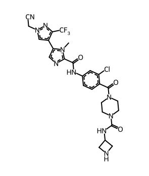 Cn1c(-c2cn(CC#N)nc2C(F)(F)F)cnc1C(=O)Nc1ccc(C(=O)N2CCN(C(=O)NC3CNC3)CC2)c(Cl)c1